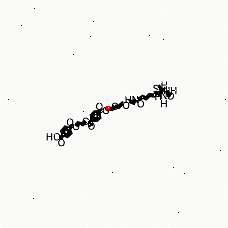 O=C(CCCCC1SC[C@@H]2NC(=O)N[C@H]12)NCCOCCOCCOC(=O)c1ccc(C(=O)OCCOC(=O)c2ccc(C(=O)O)cc2)cc1